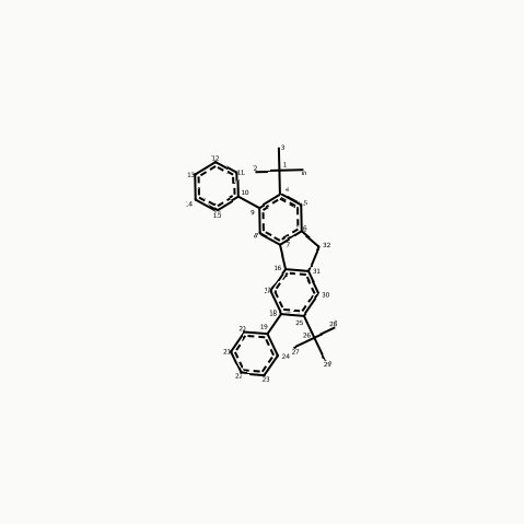 CC(C)(C)c1cc2c(cc1-c1ccccc1)-c1cc(-c3ccccc3)c(C(C)(C)C)cc1[CH]2